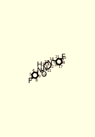 O=C(Nc1ccc(F)cc1)N1CCN(Cc2cccc(F)c2)CC1